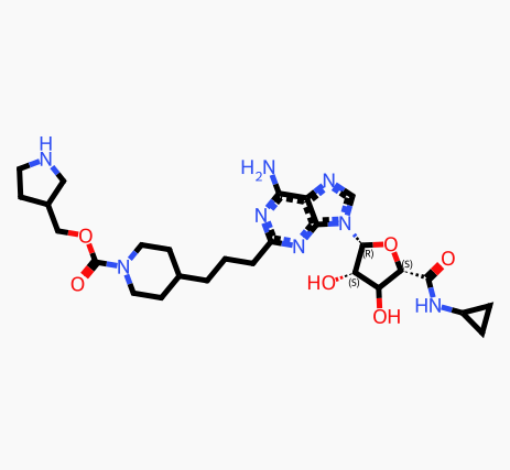 Nc1nc(CCCC2CCN(C(=O)OCC3CCNC3)CC2)nc2c1ncn2[C@@H]1O[C@H](C(=O)NC2CC2)C(O)[C@@H]1O